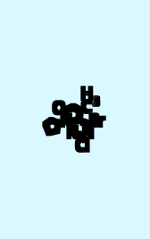 Cc1cc(=O)n(C2CCCC2)c2nc(Cl)nc(Br)c12